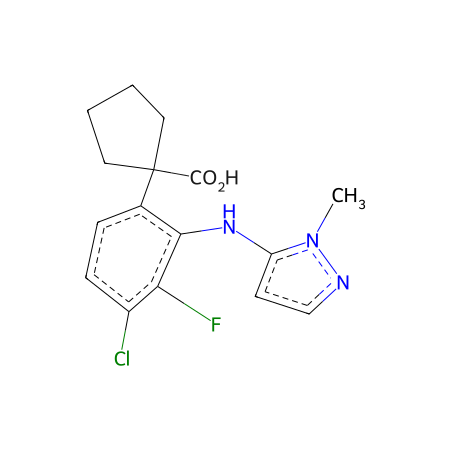 Cn1nccc1Nc1c(C2(C(=O)O)CCCC2)ccc(Cl)c1F